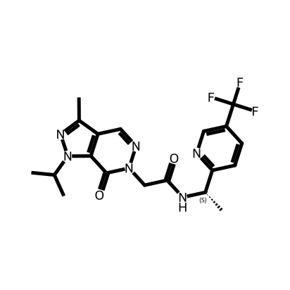 Cc1nn(C(C)C)c2c(=O)n(CC(=O)N[C@@H](C)c3ccc(C(F)(F)F)cn3)ncc12